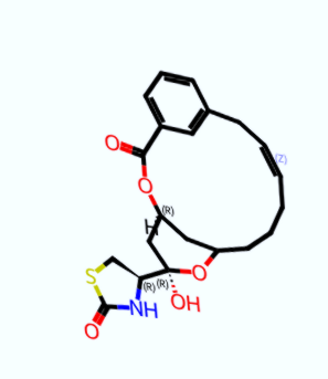 O=C1N[C@H]([C@@]2(O)C[C@H]3CC(CCC/C=C\Cc4cccc(c4)C(=O)O3)O2)CS1